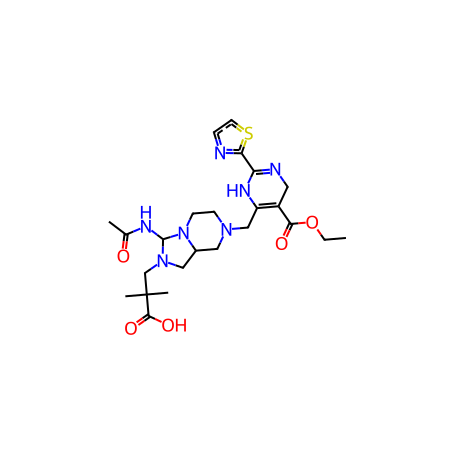 CCOC(=O)C1=C(CN2CCN3C(C2)CN(CC(C)(C)C(=O)O)C3NC(C)=O)NC(c2nccs2)=NC1